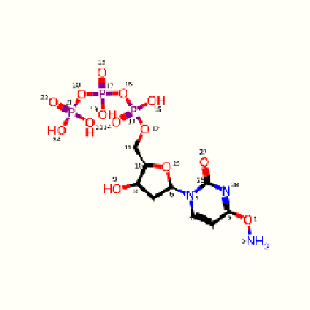 NOc1ccn([C@H]2CC(O)[C@@H](COP(=O)(O)OP(=O)(O)OP(=O)(O)O)O2)c(=O)n1